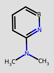 CN(C)c1cccbn1